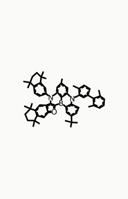 Cc1cc2c3c(c1)N(c1ccc4c(c1)C(C)(C)CCC4(C)C)c1c(oc4cc5c(cc14)C(C)(C)CCC5(C)C)B3c1cc(C(C)(C)C)ccc1N2c1cc(-c2c(C)cccc2C)ccc1C